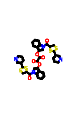 O=C(Oc1cn(C(=O)C2CSC(c3cccnc3)S2)c2ccccc12)C(=O)Oc1cn(C(=O)C2CSC(c3cccnc3)S2)c2ccccc12